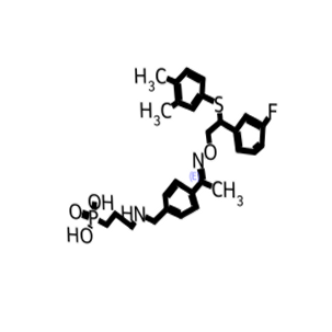 C/C(=N\OCC(Sc1ccc(C)c(C)c1)c1cccc(F)c1)c1ccc(CNCCCP(=O)(O)O)cc1